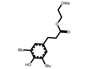 COCCOC(=O)CCc1cc(C(C)(C)C)c(O)c(C(C)(C)C)c1